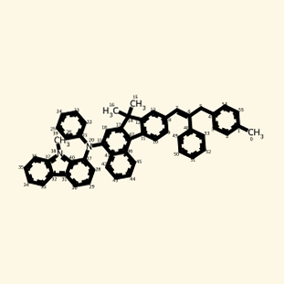 Cc1ccc(C/C(=C/c2ccc3c(c2)C(C)(C)c2cc(N(c4ccccc4)c4cccc5c6ccccc6n(C)c45)c4ccccc4c2-3)c2ccccc2)cc1